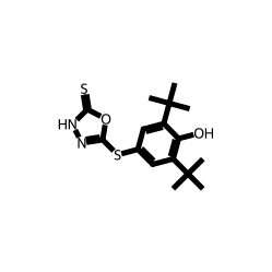 CC(C)(C)c1cc(Sc2n[nH]c(=S)o2)cc(C(C)(C)C)c1O